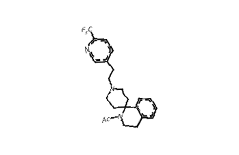 CC(=O)N1CCc2ccccc2C12CCN(CCc1ccc(C(F)(F)F)nc1)CC2